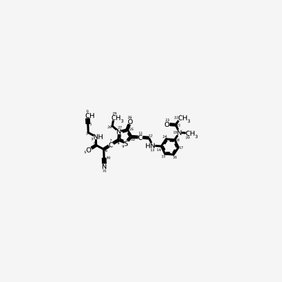 C#CCNC(=O)C(=C=c1sc(=C=CNc2cccc(N(C)C(C)=O)c2)c(=O)n1CC)C#N